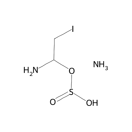 N.NC(CI)OS(=O)O